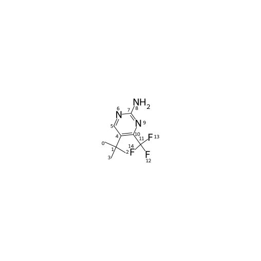 CC(C)(C)c1cnc(N)nc1C(F)(F)F